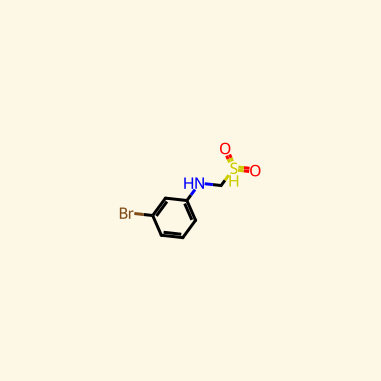 O=[SH](=O)CNc1cccc(Br)c1